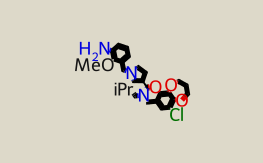 COc1c(N)cccc1CN1CC[C@@H](C(=O)N(Cc2cc(Cl)c3c(c2)OCCCO3)CC(C)C)C1